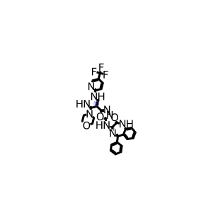 N=C(/C(=C\Nc1ccc(C(F)(F)F)cn1)c1nnc(N[C@H]2N=C(c3ccccc3)c3ccccc3NC2=O)o1)N1CCOCC1